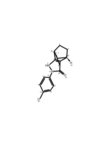 CC12C[C@@]13CC[C@@H]2c1c3[nH]n(-c2ccc(Cl)cc2)c1=O